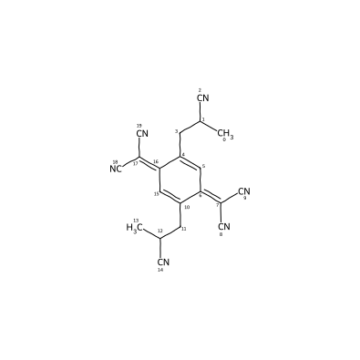 CC(C#N)Cc1cc(=C(C#N)C#N)c(CC(C)C#N)cc1=C(C#N)C#N